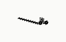 CCCCCCCCCCCCCCCCCCOc1ccc([S+](Cc2ccccc2)OS(=O)(=O)C(F)(F)F)cc1